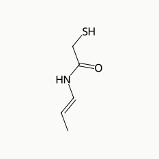 CC=CNC(=O)CS